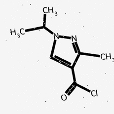 Cc1nn(C(C)C)cc1C(=O)Cl